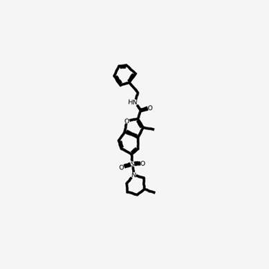 Cc1c(C(=O)NCc2ccccc2)oc2ccc(S(=O)(=O)N3CCCC(C)C3)cc12